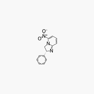 O=[N+]([O-])C1=CC=CC2=N[C@H](c3ccccc3)CN12